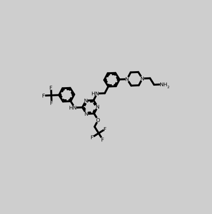 NCCN1CCN(c2cccc(CNc3nc(Nc4cccc(C(F)(F)F)c4)nc(OCC(F)(F)F)n3)c2)CC1